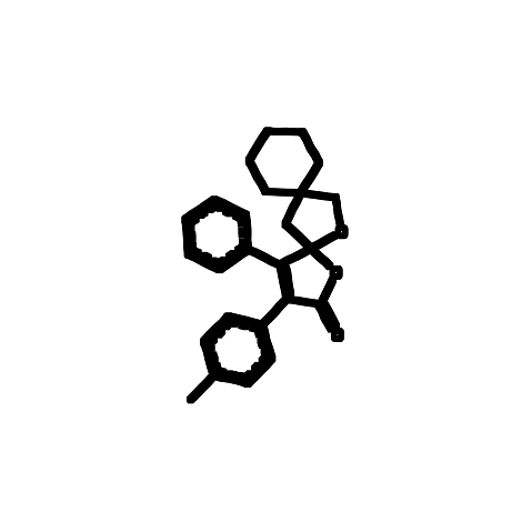 Cc1ccc(C2=C(c3ccccc3)C3(CC4(CCCCC4)CO3)OC2=O)cc1